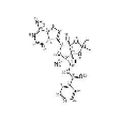 CC1(C)O[C@H]2[C@H](c3ccc4c(N)ncnn34)O[C@](C#N)(COC(=O)c3ccccc3)[C@H]2O1